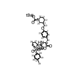 COC(=O)[C@H](Cc1ccc(OCC2CCCN(C(=O)OC(C)(C)C)C2)cc1)NC(=O)[C@@H]1CCCN1S(=O)(=O)c1ccc(C)cc1